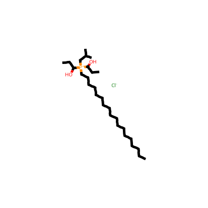 CCCCCCCCCCCCCCCCCC[P+](CC(C)C)(C(O)CC)C(O)CC.[Cl-]